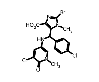 Cn1c(Br)nc(C(=O)O)c1C(Nc1cc(Cl)c(=O)n(C)c1)c1ccc(Cl)cc1